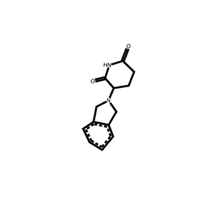 O=C1CCC(N2Cc3[c]cccc3C2)C(=O)N1